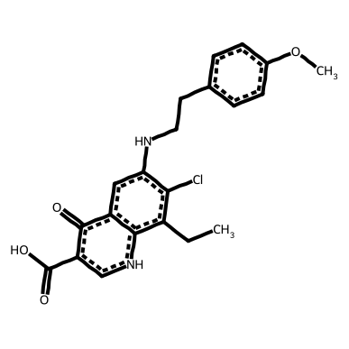 CCc1c(Cl)c(NCCc2ccc(OC)cc2)cc2c(=O)c(C(=O)O)c[nH]c12